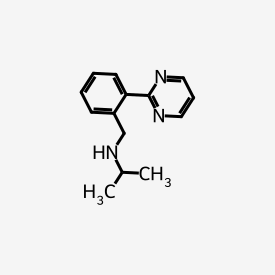 CC(C)NCc1ccccc1-c1ncccn1